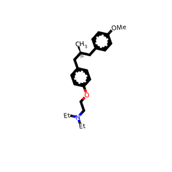 CCN(CC)CCOc1ccc(C[C@@H](C)Cc2ccc(OC)cc2)cc1